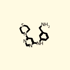 NCc1cccc(Nc2cc(N3CCSCC3)ncn2)c1